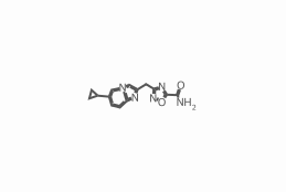 NC(=O)c1nc(Cc2cn3cc(C4CC4)ccc3n2)no1